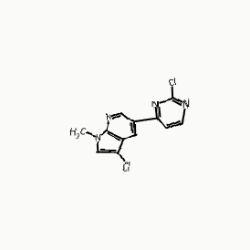 Cn1cc(Cl)c2cc(-c3ccnc(Cl)n3)cnc21